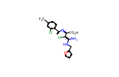 C=C(/N=C(C(=O)O)\C(Cl)=C(/N)NCc1ccco1)c1ccc(C(F)(F)F)cc1Cl